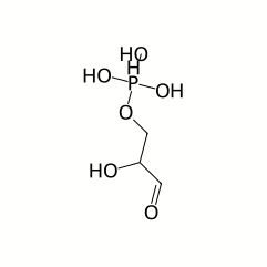 O=CC(O)CO[PH](O)(O)O